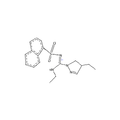 CCN/C(=N\S(=O)(=O)c1cccc2ccccc12)N1CC(CC)C=N1